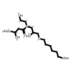 CCCCCCCCCCCCCCCCOCC(O)CN(CCO)C(=O)CC(O)CCCCC